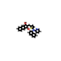 O=C1C(=Cc2ccc(N(c3ccccn3)c3cccc4ccccc34)s2)C(=O)c2cc3ccccc3cc21